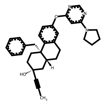 CC#C[C@@]1(O)CC[C@@]2(Cc3ccccc3)c3ccc(Oc4cc(N5CCCC5)ncn4)cc3CC[C@@H]2C1